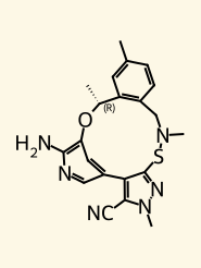 Cc1ccc2c(c1)[C@@H](C)Oc1cc(cnc1N)-c1c(nn(C)c1C#N)SN(C)C2